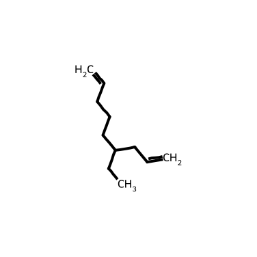 C=CCCCC(CC)CC=C